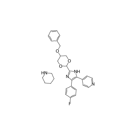 C1CCNCC1.Fc1ccc(-c2nc(C3OCC(OCc4ccccc4)CO3)[nH]c2-c2ccncc2)cc1